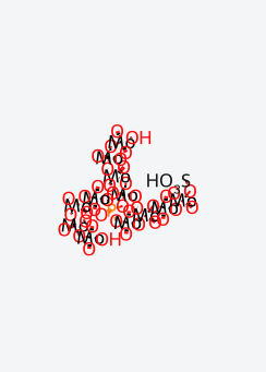 O=P([O][Mo](=[O])(=[O])[O][Mo](=[O])(=[O])[O][Mo](=[O])(=[O])[O][Mo](=[O])(=[O])[OH])([O][Mo](=[O])(=[O])[O][Mo](=[O])(=[O])[O][Mo](=[O])(=[O])[O][Mo](=[O])(=[O])[OH])[O][Mo](=[O])(=[O])[O][Mo](=[O])(=[O])[O][Mo](=[O])(=[O])[O][Mo](=[O])(=[O])[O]S(=O)(=O)O